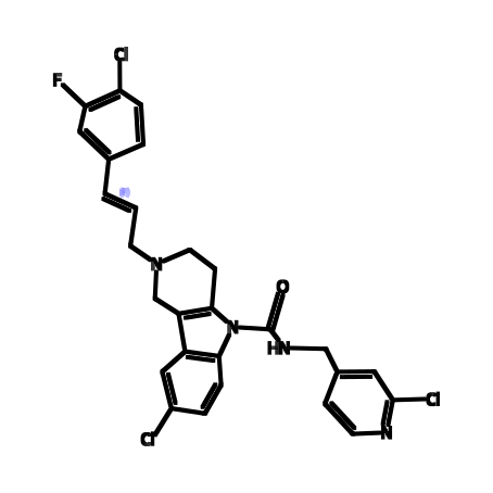 O=C(NCc1ccnc(Cl)c1)n1c2c(c3cc(Cl)ccc31)CN(C/C=C/c1ccc(Cl)c(F)c1)CC2